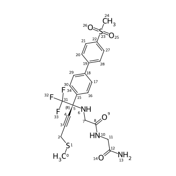 CSCC#C[C@](NCC(=O)NCC(N)=O)(c1ccc(-c2ccc(S(C)(=O)=O)cc2)cc1)C(F)(F)F